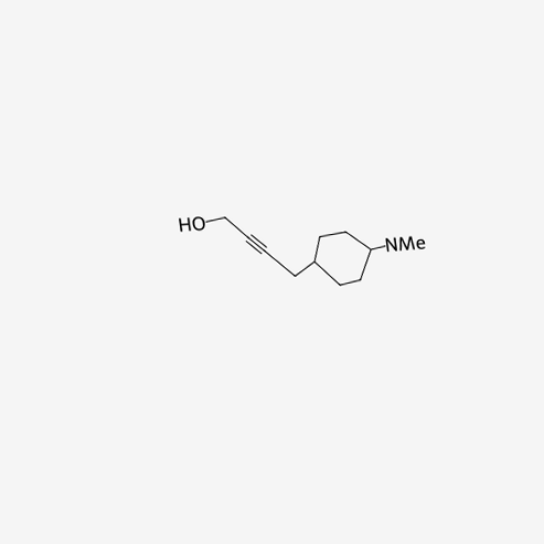 CNC1CCC(CC#CCO)CC1